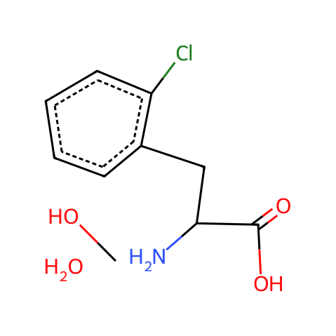 CO.NC(Cc1ccccc1Cl)C(=O)O.O